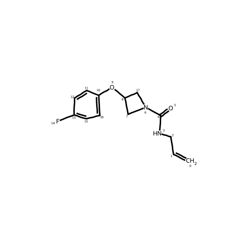 C=CCNC(=O)N1CC(Oc2ccc(F)cc2)C1